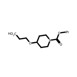 CC(C)OC(=O)N1CCC(OCCC(=O)O)CC1